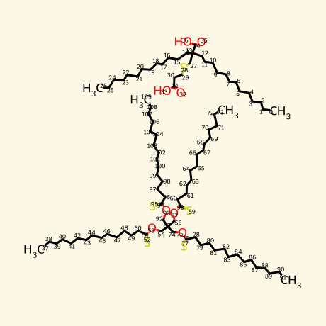 CCCCCCCCCCCCCC(CCCCCCCCCCCCC)(CSCCC(=O)O)C(=O)O.CCCCCCCCCCCCCCC(=S)OCC(COC(=S)CCCCCCCCCCCCCC)(COC(=S)CCCCCCCCCCCCCC)COC(=S)CCCCCCCCCCCCCC